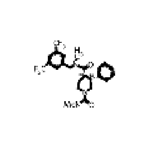 CNC(=O)N1CC[C@@H](C(=O)N(C)Cc2cc(C(F)(F)F)cc(C(F)(F)F)c2)[C@H](c2ccccc2)C1